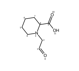 O=[C]CN1CCCCC1C(=O)O